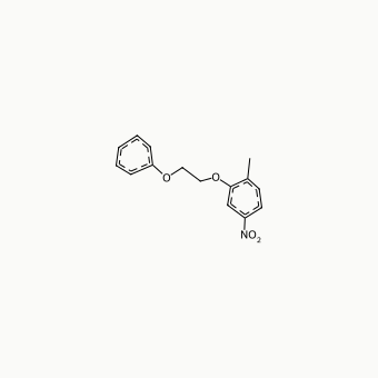 Cc1ccc([N+](=O)[O-])cc1OCCOc1ccccc1